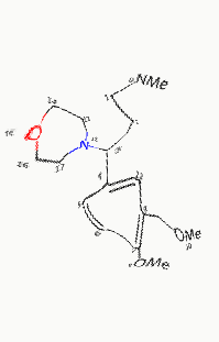 CNCCC(c1ccc(OC)c(OC)c1)N1CCOCC1